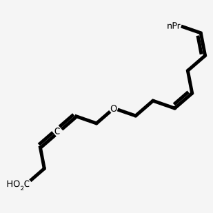 CCC/C=C\C/C=C\CCOCC=C=CCC(=O)O